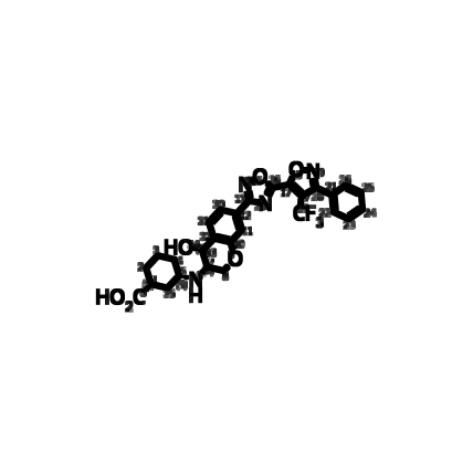 O=C(O)[C@H]1CCC[C@H](N[C@@H]2COc3cc(-c4noc(-c5onc(-c6ccccc6)c5C(F)(F)F)n4)ccc3[C@H]2O)C1